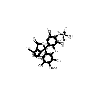 COc1c(Cl)cc2c(c1Cl)Oc1c(cc(Cl)c(OP(=O)(O)O)c1Cl)C21OC(=O)c2c(Cl)ccc(Cl)c21